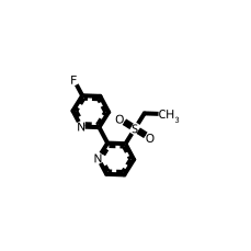 CCS(=O)(=O)c1cccnc1-c1ccc(F)cn1